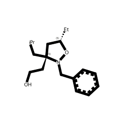 CC[C@H]1C[C@@](CCO)(CC(C)C)N(Cc2ccccc2)O1